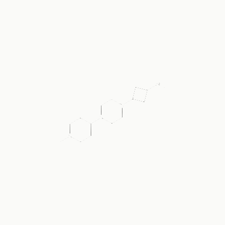 CN1CCC(N2CCN(C3CC(N)C3)CC2)CC1